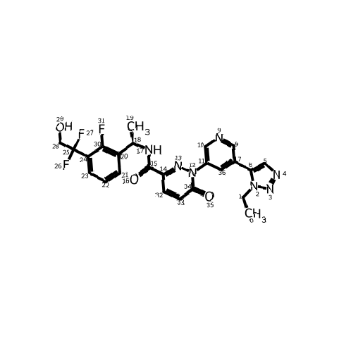 CCn1nncc1-c1cncc(-n2nc(C(=O)N[C@H](C)c3cccc(C(F)(F)CO)c3F)ccc2=O)c1